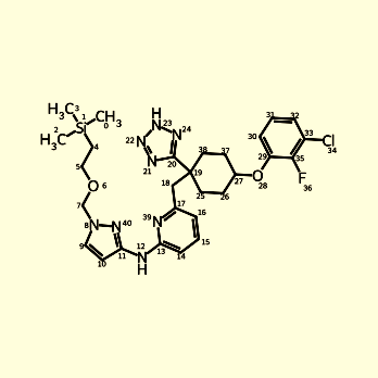 C[Si](C)(C)CCOCn1ccc(Nc2cccc(CC3(c4nn[nH]n4)CCC(Oc4cccc(Cl)c4F)CC3)n2)n1